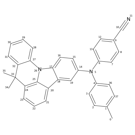 Cc1ccc(N(c2ccc(C#N)cc2)c2ccc3c(c2)c2cccc4c2n3-c2ccccc2C4(C)C)cc1